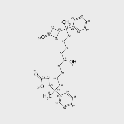 CC(CCCCC(O)CCCCC(C)(c1ccccc1)C1CC(=O)O1)(c1ccccc1)C1CC(=O)C1